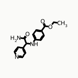 CCOC(=O)c1ccc(NC(C(N)=O)c2ccncc2)cc1